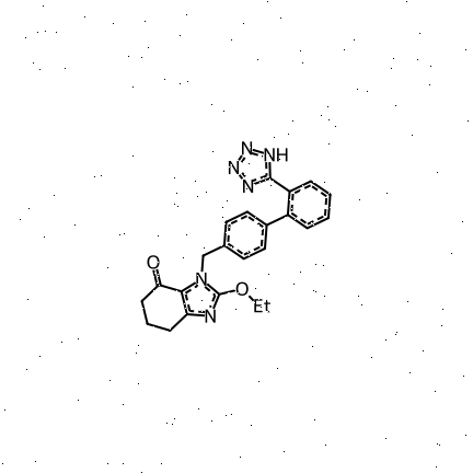 CCOc1nc2c(n1Cc1ccc(-c3ccccc3-c3nnn[nH]3)cc1)C(=O)CCC2